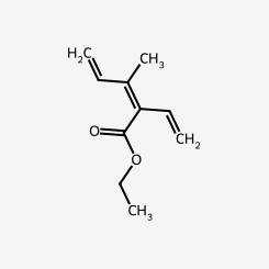 C=C/C(C)=C(/C=C)C(=O)OCC